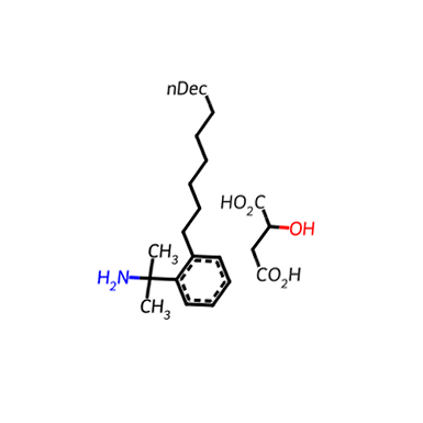 CCCCCCCCCCCCCCCCc1ccccc1C(C)(C)N.O=C(O)CC(O)C(=O)O